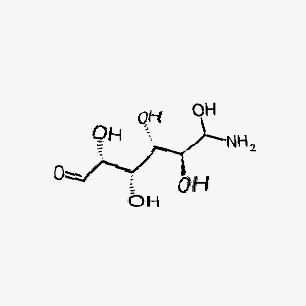 NC(O)[C@@H](O)[C@@H](O)[C@H](O)[C@@H](O)C=O